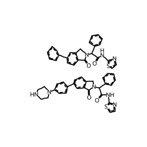 O=C(Nc1nccs1)C(c1ccccc1)N1Cc2cc(-c3ccccc3)ccc2C1=O.O=C(Nc1nccs1)C(c1ccccc1)N1Cc2ccc(-c3ccc(N4CCNCC4)cc3)cc2C1=O